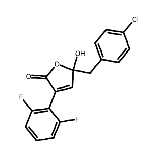 O=C1OC(O)(Cc2ccc(Cl)cc2)C=C1c1c(F)cccc1F